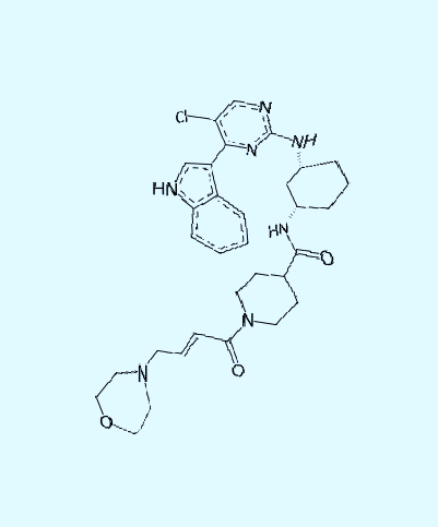 O=C(N[C@H]1CCC[C@@H](Nc2ncc(Cl)c(-c3c[nH]c4ccccc34)n2)C1)C1CCN(C(=O)/C=C/CN2CCOCC2)CC1